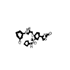 O=c1[nH]c(-c2ccc(OCc3cn(-c4cccc(Cl)c4)nn3)c(S(=O)(=O)NC3CCCC3)c2)cs1